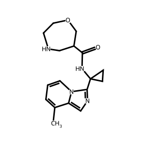 Cc1cccn2c(C3(NC(=O)C4CNCCOC4)CC3)ncc12